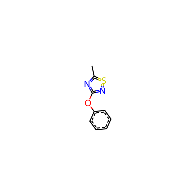 Cc1nc(Oc2ccccc2)ns1